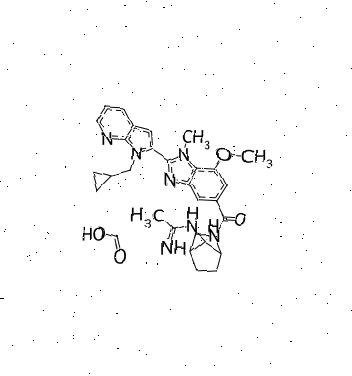 COc1cc(C(=O)N2CC3CCC2[C@@H]3NC(C)=N)cc2nc(-c3cc4cccnc4n3CC3CC3)n(C)c12.O=CO